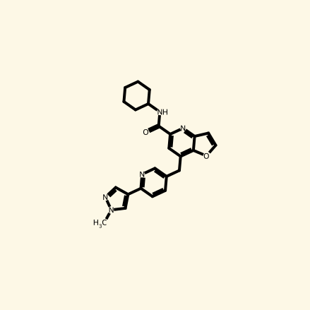 Cn1cc(-c2ccc(Cc3cc(C(=O)NC4CCCCC4)nc4ccoc34)cn2)cn1